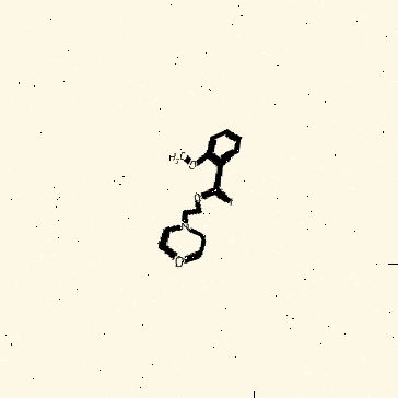 COc1ccccc1C(I)OCCN1CCOCC1